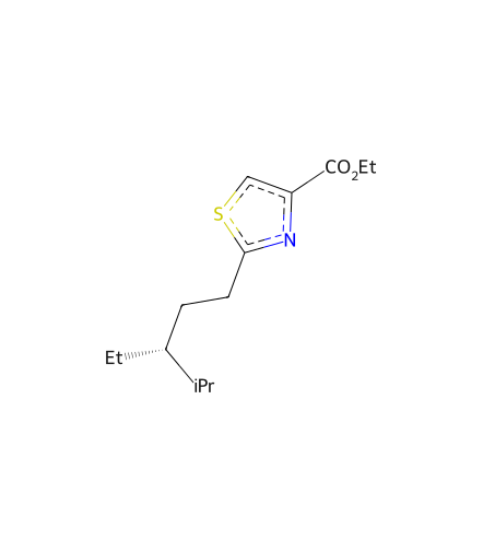 CCOC(=O)c1csc(CC[C@@H](CC)C(C)C)n1